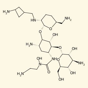 NCCN(O)C(=O)N[C@@H]1C[C@H](N)C(O[C@H]2O[C@H](CN)CC[C@H]2NCC2CC(N)C2)[C@H](O)[C@H]1O[C@H]1O[C@H](CO)[C@@H](O)[C@H](N)[C@H]1O